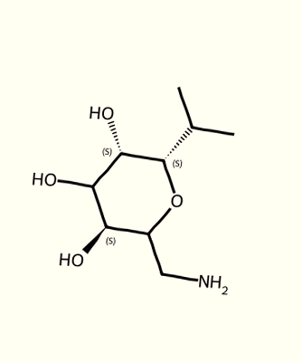 CC(C)[C@@H]1OC(CN)[C@@H](O)C(O)[C@@H]1O